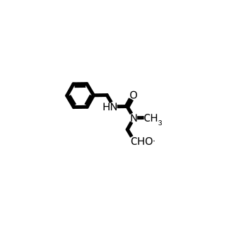 CN(C[C]=O)C(=O)NCc1ccccc1